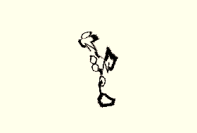 O=C([C@@H]1CCCN1C(=O)OCc1ccccc1)N1CCOCC1